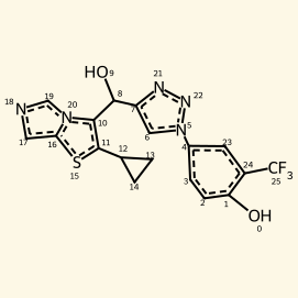 Oc1ccc(-n2cc(C(O)c3c(C4CC4)sc4cncn34)nn2)cc1C(F)(F)F